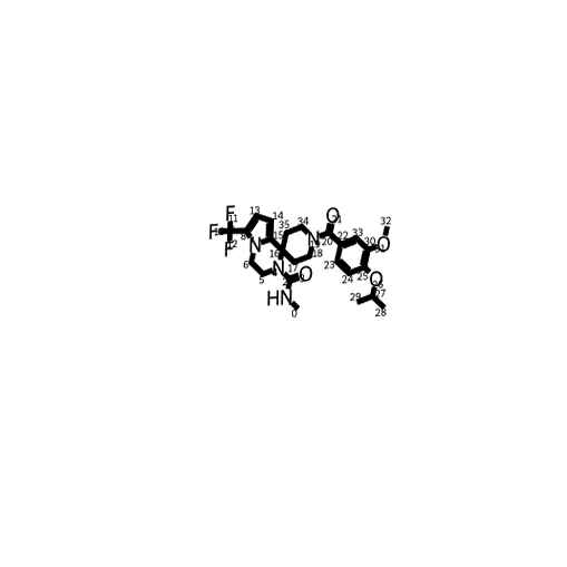 CNC(=O)N1CCn2c(C(F)(F)F)ccc2C12CCN(C(=O)c1ccc(OC(C)C)c(OC)c1)CC2